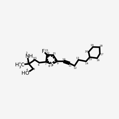 CC(N)(CO)CCc1sc(C#CCCCC2CCCCC2)cc1F